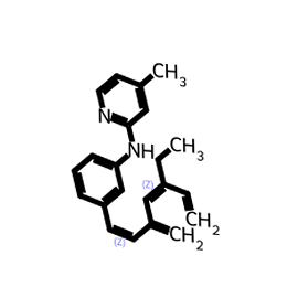 C=C/C(=C\C(=C)/C=C\c1cccc(Nc2cc(C)ccn2)c1)CC